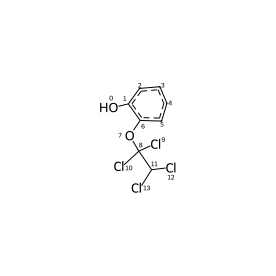 Oc1ccccc1OC(Cl)(Cl)C(Cl)Cl